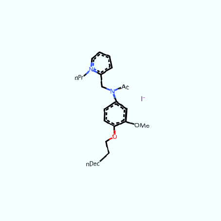 CCCCCCCCCCCCOc1ccc(N(Cc2cccc[n+]2CCC)C(C)=O)cc1OC.[I-]